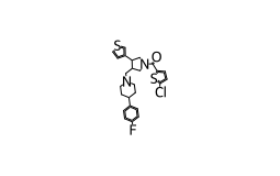 O=C(c1ccc(Cl)s1)N1CC(CN2CCC(c3ccc(F)cc3)CC2)C(c2ccsc2)C1